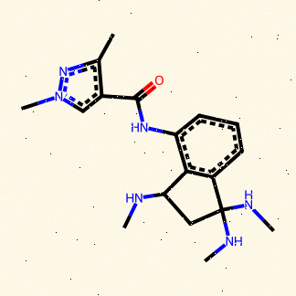 CNC1CC(NC)(NC)c2cccc(NC(=O)c3cn(C)nc3C)c21